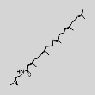 CC(C)=CCC/C(C)=C/CC/C(C)=C/CC/C(C)=C/CC/C(C)=C/C(=O)NCCN(C)C